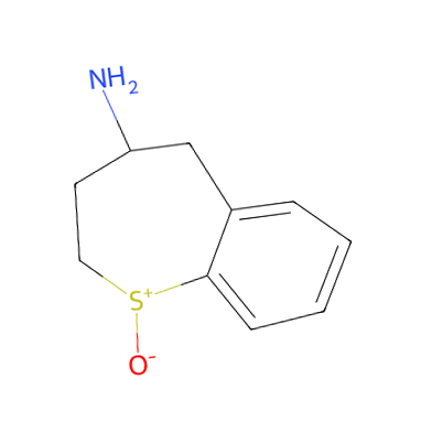 NC1CC[S+]([O-])c2ccccc2C1